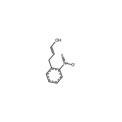 [O-][N+](=S)c1ccccc1CC=CO